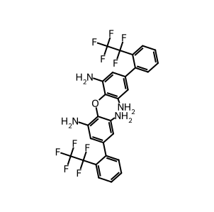 Nc1cc(-c2ccccc2C(F)(F)C(F)(F)F)cc(N)c1Oc1c(N)cc(-c2ccccc2C(F)(F)C(F)(F)F)cc1N